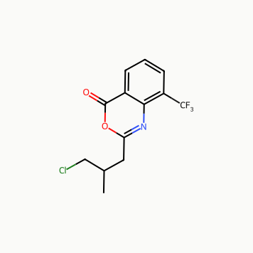 CC(CCl)Cc1nc2c(C(F)(F)F)cccc2c(=O)o1